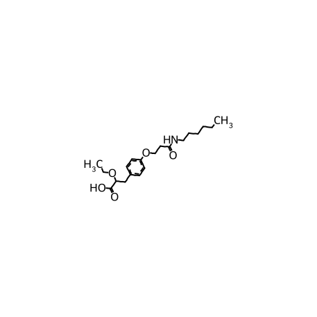 CCCCCCNC(=O)CCOc1ccc(CC(OCC)C(=O)O)cc1